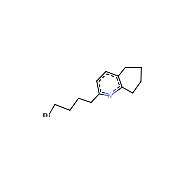 CCC(C)CCCCc1ccc2c(n1)CCCC2